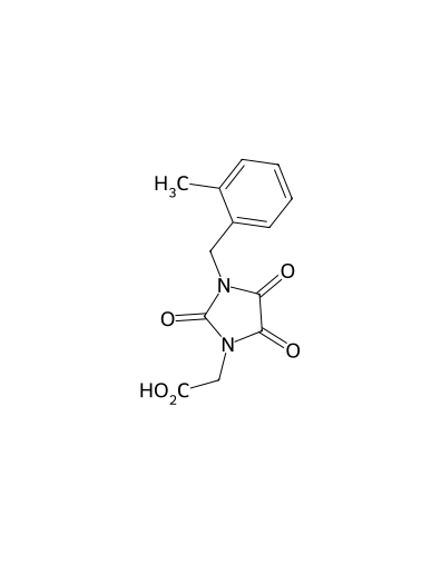 Cc1ccccc1CN1C(=O)C(=O)N(CC(=O)O)C1=O